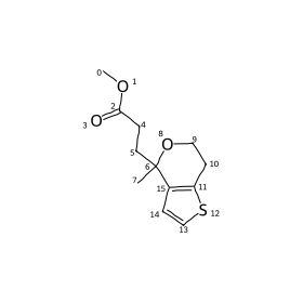 COC(=O)CCC1(C)OCCc2sccc21